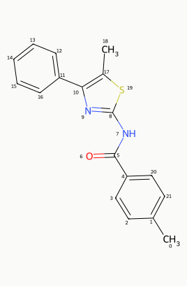 Cc1ccc(C(=O)Nc2nc(-c3ccccc3)c(C)s2)cc1